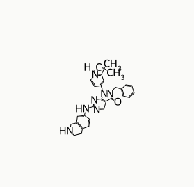 CC(C)(C)c1cc(-n2c3nc(Nc4ccc5c(c4)CNCC5)ncc3c(=O)n2Cc2ccccc2)ccn1